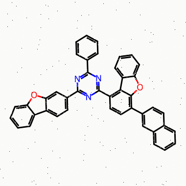 c1ccc(-c2nc(-c3ccc4c(c3)oc3ccccc34)nc(-c3ccc(-c4ccc5ccccc5c4)c4oc5ccccc5c34)n2)cc1